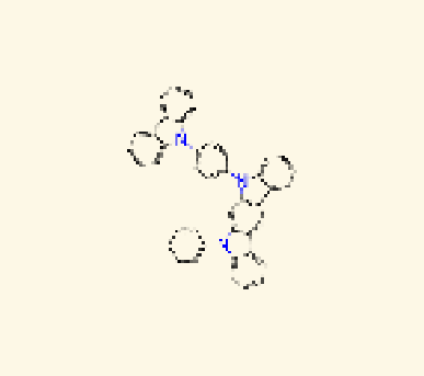 C1=CC(n2c3ccccc3c3cc4c5ccccc5n(-c5ccc(-n6c7ccccc7c7ccccc76)cc5)c4cc32)=CCC1